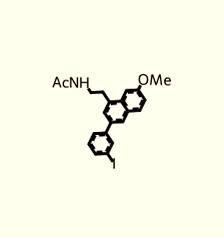 COc1ccc2cc(-c3cccc(I)c3)cc(CCNC(C)=O)c2c1